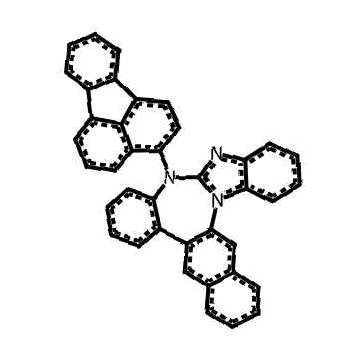 c1ccc2c(c1)-c1cccc3c(N4c5ccccc5-c5cc6ccccc6cc5-n5c4nc4ccccc45)ccc-2c13